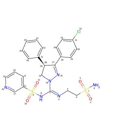 NS(=O)(=O)CCN=C(NS(=O)(=O)c1cccnc1)N1C[C@@H](c2ccccc2)C(c2ccc(Cl)cc2)=N1